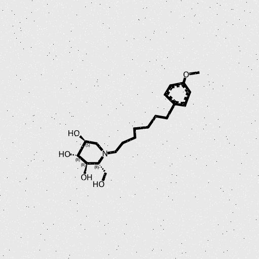 COc1ccc(CCCCCCCN2C[C@H](O)[C@@H](O)[C@H](O)[C@H]2CO)cc1